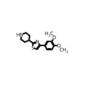 COc1ccc(-c2csc(C3CCNCC3)n2)cc1OC